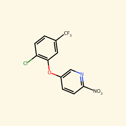 O=[N+]([O-])c1ccc(Oc2cc(C(F)(F)F)ccc2Cl)cn1